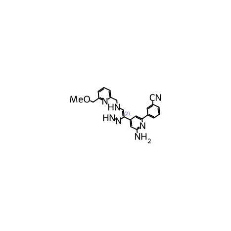 COCc1cccc(CN/C=C(\N=N)c2cc(N)nc(-c3cccc(C#N)c3)c2)n1